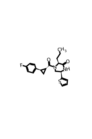 CCC[C@H]1C(=O)N[C@@H](c2cccs2)CN1C(=O)[C@@H]1C[C@H]1c1ccc(F)cc1